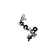 Cc1cc(-c2nnc3c4ccccc4c(OCc4ccc(C5COC(CNC=O)C5)cn4)nn23)no1